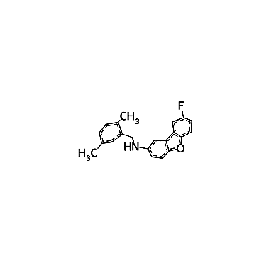 Cc1ccc(C)c(CNc2ccc3oc4ccc(F)cc4c3c2)c1